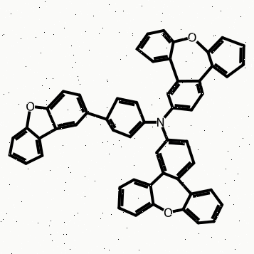 c1ccc2c(c1)Oc1ccccc1-c1cc(N(c3ccc(-c4ccc5oc6ccccc6c5c4)cc3)c3ccc4c(c3)-c3ccccc3Oc3ccccc3-4)ccc1-2